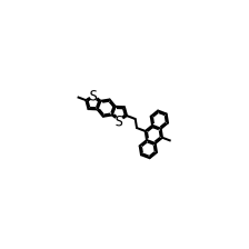 Cc1cc2cc3sc(CCc4c5ccccc5c(C)c5ccccc45)cc3cc2s1